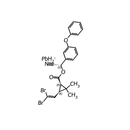 CC1(C)[C@H](C(=O)O[C@H](C#N)c2cccc(Oc3ccccc3)c2)[C@@H]1C=C(Br)Br.[PbH2]